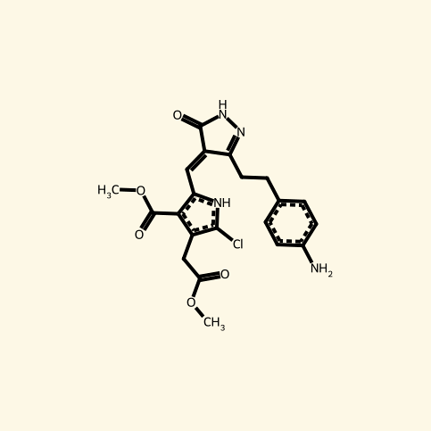 COC(=O)Cc1c(Cl)[nH]c(/C=C2/C(=O)NN=C2CCc2ccc(N)cc2)c1C(=O)OC